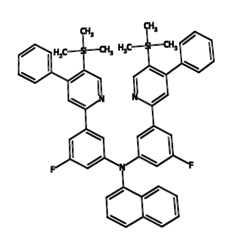 C[Si](C)(C)c1cnc(-c2cc(F)cc(N(c3cc(F)cc(-c4cc(-c5ccccc5)c([Si](C)(C)C)cn4)c3)c3cccc4ccccc34)c2)cc1-c1ccccc1